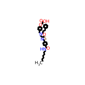 CCCCCCCCNC(=O)c1ccc(-c2nc(CN(Cc3ccc(OCC(=O)O)cc3)C(=O)CCc3ccccc3)cs2)cc1